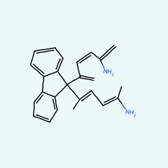 C=C(N)/C=C\C(=C)C1(/C(C)=C/C=C(\C)N)c2ccccc2-c2ccccc21